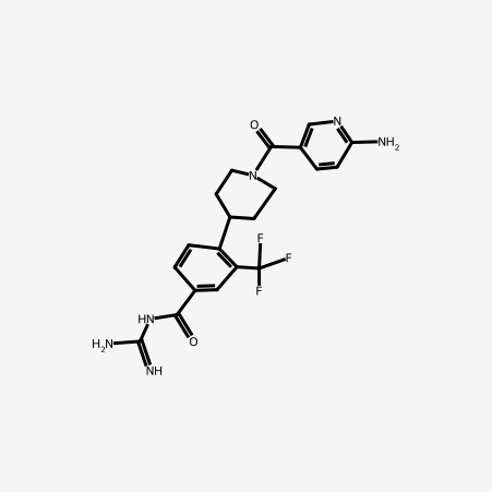 N=C(N)NC(=O)c1ccc(C2CCN(C(=O)c3ccc(N)nc3)CC2)c(C(F)(F)F)c1